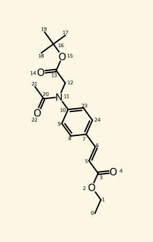 CCOC(=O)/C=C/c1ccc(N(CC(=O)OC(C)(C)C)C(C)=O)cc1